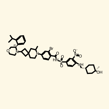 CC(C)c1ccccc1[C@@H]1COCCN1C1CC2(CCN(c3ccc(C(=O)NS(=O)(=O)c4ccc(NC[C@H]5CC[C@](C)(O)CC5)c([N+](=O)[O-])c4)c(Br)c3)C(C)C2)C1